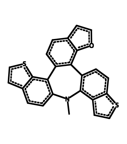 CN1c2ccc3ccsc3c2-c2ccc3ccoc3c2-c2ccc3sccc3c21